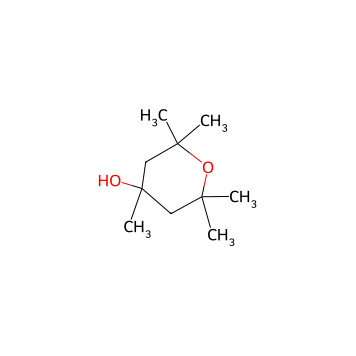 CC1(O)CC(C)(C)OC(C)(C)C1